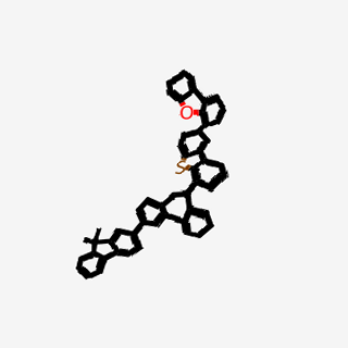 CC1(C)c2ccccc2-c2ccc(-c3ccc4c(c3)-c3ccccc3C(c3cccc5c3sc3ccc(-c6cccc7c6oc6ccccc67)cc35)C4)cc21